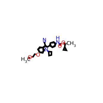 COCCOc1ccc2c(C#N)c(-c3ccc(NC(=O)O[C@H](C)C4CC4)cc3)n(C3CCC3)c2c1